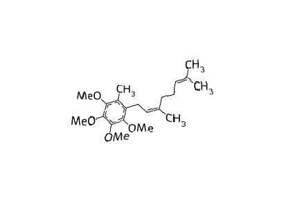 COc1c(C)c(CC=C(C)CCC=C(C)C)c(OC)c(OC)c1OC